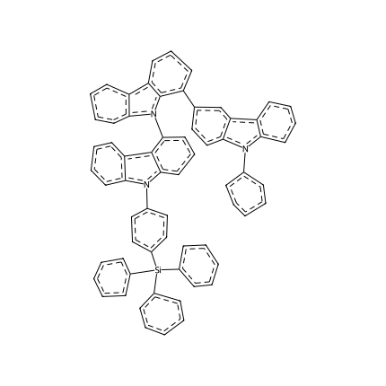 c1ccc(-n2c3ccccc3c3cc(-c4cccc5c6ccccc6n(-c6cccc7c6c6ccccc6n7-c6ccc([Si](c7ccccc7)(c7ccccc7)c7ccccc7)cc6)c45)ccc32)cc1